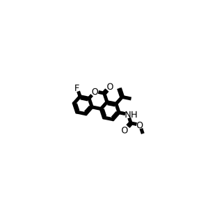 C=C(C)c1c(NC(=O)OC)ccc2c1c(=O)oc1c(F)cccc12